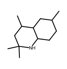 CC1CCC2NC(C)(C)CC(C)C2C1